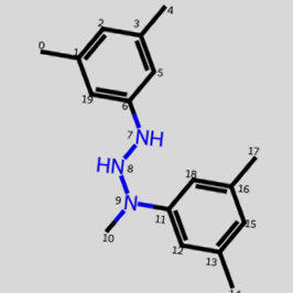 Cc1cc(C)cc(NNN(C)c2cc(C)cc(C)c2)c1